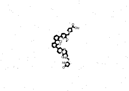 COc1nc(-c2cccc(-c3cccc(-c4ccn5c(=O)c(CNC[C@@H]6CCC(=O)N6)cnc5c4)c3Cl)c2Cl)ccc1CN1CC[C@@H](C(=O)O)C1